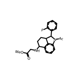 COC(=O)CNC1CCC2c3c1cccc3N(C(C)=O)C2c1ccccc1F